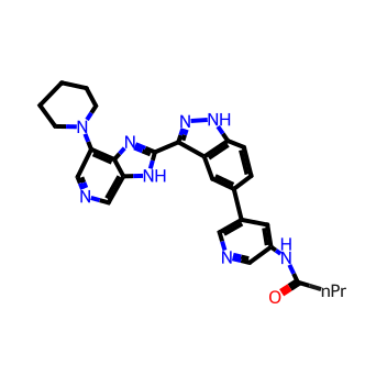 CCCC(=O)Nc1cncc(-c2ccc3[nH]nc(-c4nc5c(N6CCCCC6)cncc5[nH]4)c3c2)c1